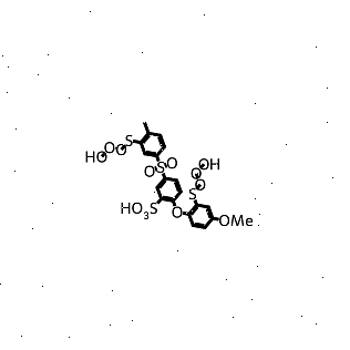 COc1ccc(Oc2ccc(S(=O)(=O)c3ccc(C)c(SOOO)c3)cc2S(=O)(=O)O)c(SOOO)c1